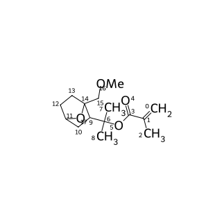 C=C(C)C(=O)OC(C)(C)C1CC2CCC1(COC)O2